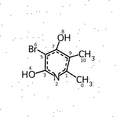 Cc1nc(O)c(Br)c(O)c1C